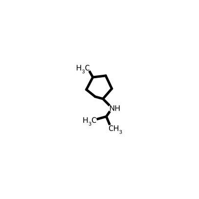 CC1CCC(NC(C)C)CC1